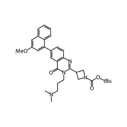 COc1cc(-c2ccc3nc(C4CN(C(=O)OC(C)(C)C)C4)n(CCCN(C)C)c(=O)c3c2)c2ccccc2c1